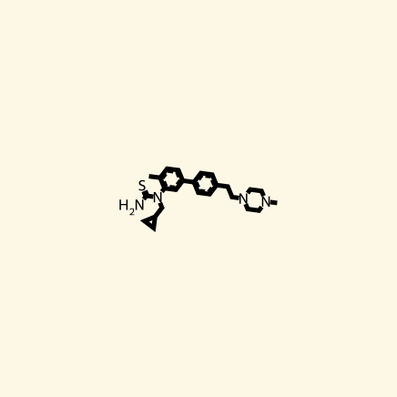 Cc1ccc(-c2ccc(CCN3CCN(C)CC3)cc2)cc1N(CC1CC1)C(N)=S